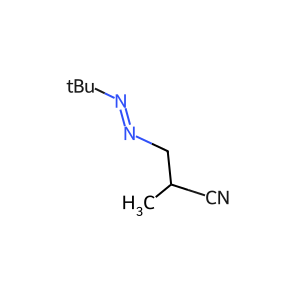 CC(C#N)C/N=N/C(C)(C)C